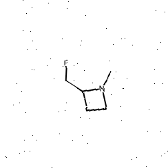 CN1CCC1CF